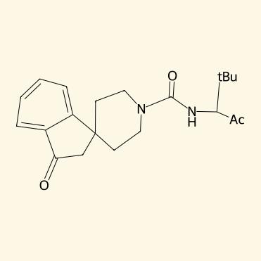 CC(=O)C(NC(=O)N1CCC2(CC1)CC(=O)c1ccccc12)C(C)(C)C